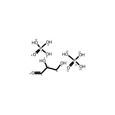 O=CC(O)CO.O=P(O)(O)O.O=P(O)(O)O